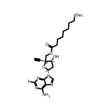 C#C[C@]1(COC(=O)CCCCCCCCCCCCCCCCC)O[C@@H](n2cnc3c(N)nc(F)nc32)C[C@@H]1O